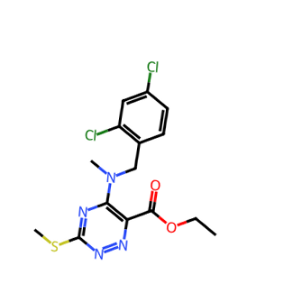 CCOC(=O)c1nnc(SC)nc1N(C)Cc1ccc(Cl)cc1Cl